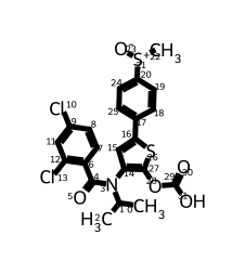 CC(C)N(C(=O)c1ccc(Cl)cc1Cl)c1cc(-c2ccc([S+](C)[O-])cc2)sc1OC(=O)O